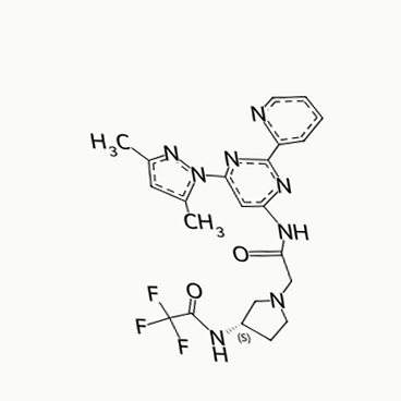 Cc1cc(C)n(-c2cc(NC(=O)CN3CC[C@H](NC(=O)C(F)(F)F)C3)nc(-c3ccccn3)n2)n1